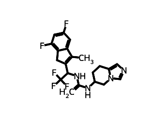 C=C(NC1CCc2cncn2C1)NC(C1=C(C)c2cc(F)cc(F)c2C1)C(F)(F)F